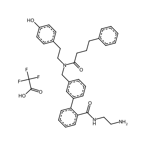 NCCNC(=O)c1ccccc1-c1cccc(CN(CCc2ccc(O)cc2)C(=O)CCCc2ccccc2)c1.O=C(O)C(F)(F)F